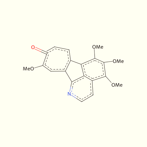 COc1c(OC)c2c3c(nccc3c1OC)-c1cc(OC)c(=O)ccc1-2